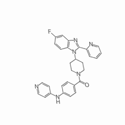 O=C(c1ccc(Nc2ccncc2)cc1)N1CCC(n2c(-c3ccccn3)nc3cc(F)ccc32)CC1